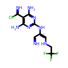 N=C/C(=C\NCC(F)(F)F)Nc1nc(N)c(C(=N)Cl)c(N)n1